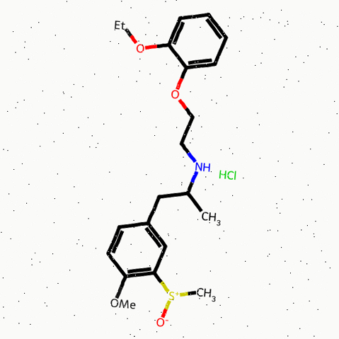 CCOc1ccccc1OCCNC(C)Cc1ccc(OC)c([S+](C)[O-])c1.Cl